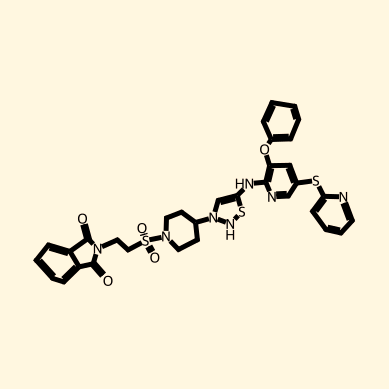 O=C1c2ccccc2C(=O)N1CCS(=O)(=O)N1CCC(N2C=C(Nc3ncc(Sc4ccccn4)cc3Oc3ccccc3)SN2)CC1